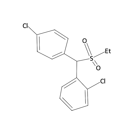 CCS(=O)(=O)C(c1ccc(Cl)cc1)c1ccccc1Cl